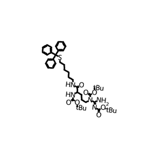 CC(C)(C)OC(=O)N=C(N)N(CCCC(NC(=O)OC(C)(C)C)C(=O)NCCCCCCSC(c1ccccc1)(c1ccccc1)c1ccccc1)C(=O)OC(C)(C)C